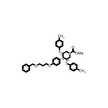 COC(=O)N1C[C@H](Sc2ccc(C)cc2)[C@H](c2ccc(OCCCOCc3ccccc3)cc2)[C@H](Sc2ccc(C)cc2)C1